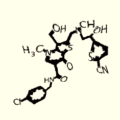 CN(Cc1sc2c(=O)c(C(=O)NCc3ccc(Cl)cc3)cn(C)c2c1CO)CC(O)c1ccc(C#N)s1